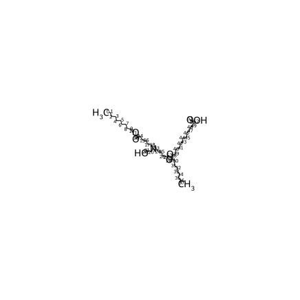 CCCCCCCCCCCOC(=O)CCCCCN(CCO)CCCCC1OC(CCCCCCCC)C(CCCCCCCCCCCC(=O)O)O1